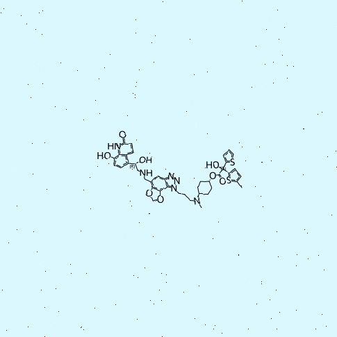 Cc1ccc([C@](O)(C(=O)O[C@H]2CC[C@H](N(C)CCCn3nnc4cc(CNC[C@H](O)c5ccc(O)c6[nH]c(=O)ccc56)c5c(c43)OCO5)CC2)c2cccs2)s1